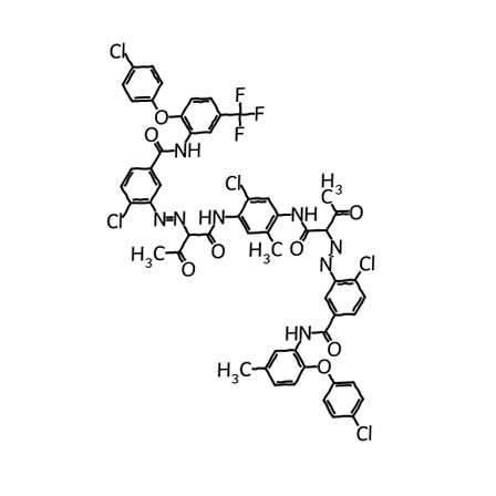 CC(=O)C(N=Nc1cc(C(=O)Nc2cc(C)ccc2Oc2ccc(Cl)cc2)ccc1Cl)C(=O)Nc1cc(Cl)c(NC(=O)C(N=Nc2cc(C(=O)Nc3cc(C(F)(F)F)ccc3Oc3ccc(Cl)cc3)ccc2Cl)C(C)=O)cc1C